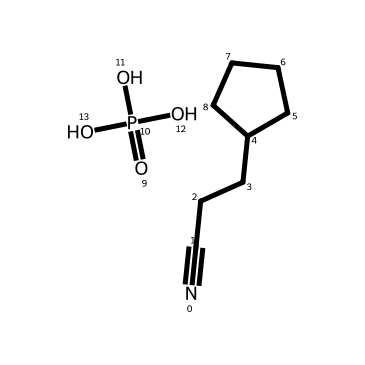 N#CCCC1CCCC1.O=P(O)(O)O